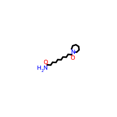 NC(=O)CCCCCCCCC(=O)N1CCCCCC1